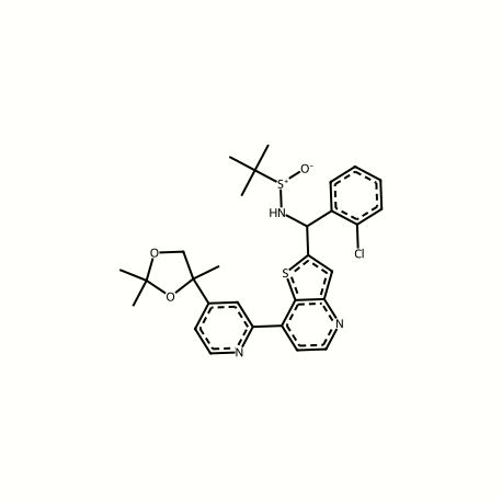 CC1(C)OCC(C)(c2ccnc(-c3ccnc4cc(C(N[S+]([O-])C(C)(C)C)c5ccccc5Cl)sc34)c2)O1